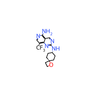 Nc1ncc(C(F)(F)F)c2nc(N[C@H]3CC[C@@]4(CCO4)CC3)ncc12